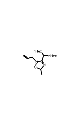 C=CCN1OC(C)N=C1C(CCCCCC)CCCCCC